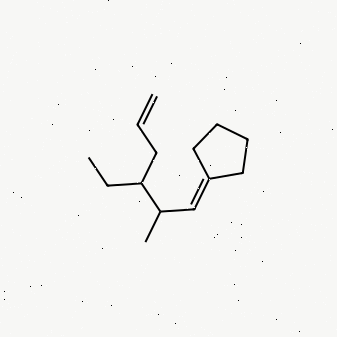 C=CCC(CC)C(C)C=C1CCCC1